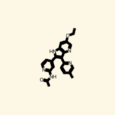 CCOc1cnc2c(-c3ccc(C)cn3)c(-c3ccnc(NC(C)=O)c3)[nH]c2c1